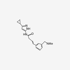 CNCc1cccc(C=CCC(=O)Nc2cc(C3CC3)n[nH]2)c1